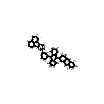 c1cc(-c2ncc3c(n2)-c2cccc4cccc-3c24)cc(-c2c3ccccc3c(-c3ccc4cc5ccccc5cc4c3)c3ccccc23)c1